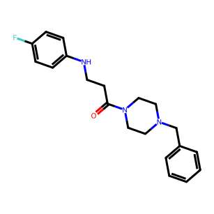 O=C(CCNc1ccc(F)cc1)N1CCN(Cc2ccccc2)CC1